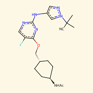 CC(=O)N[C@H]1CC[C@H](COc2nc(Nc3cnn(C(C)(C)C#N)c3)ncc2F)CC1